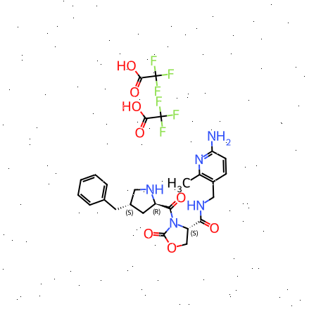 Cc1nc(N)ccc1CNC(=O)[C@@H]1COC(=O)N1C(=O)[C@H]1C[C@H](Cc2ccccc2)CN1.O=C(O)C(F)(F)F.O=C(O)C(F)(F)F